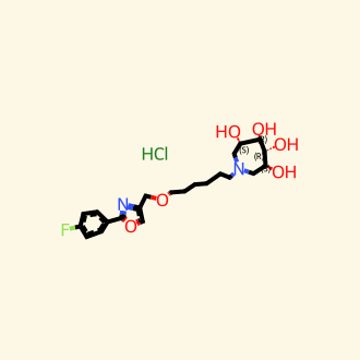 Cl.O[C@H]1[C@H](O)[C@@H](O)CN(CCCCCCOCc2coc(-c3ccc(F)cc3)n2)C[C@@H]1O